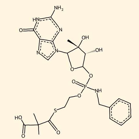 CC(C)(C(=O)O)C(=O)SCCOP(=O)(NCc1ccccc1)OC1OC(n2cnc3c(=O)[nH]c(N)nc32)[C@](C)(O)[C@@H]1O